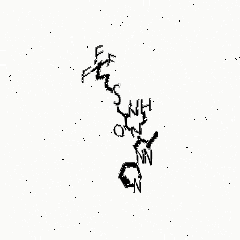 CCN(C(=O)C(=N)CSCCCC(F)(F)F)c1cn(-c2cccnc2)nc1C